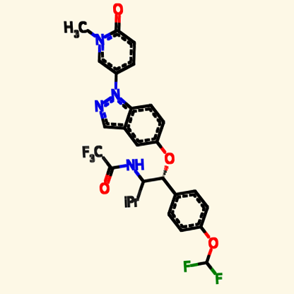 CC(C)C(NC(=O)C(F)(F)F)[C@H](Oc1ccc2c(cnn2-c2ccc(=O)n(C)c2)c1)c1ccc(OC(F)F)cc1